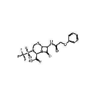 O=C(COc1ccccc1)NC1C(=O)N2C1SCN(S(=O)(=O)C(F)(F)F)C2C(=O)O